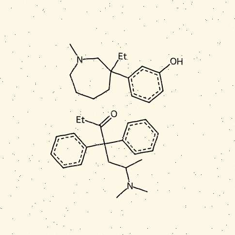 CCC(=O)C(CC(C)N(C)C)(c1ccccc1)c1ccccc1.CCC1(c2cccc(O)c2)CCCCN(C)C1